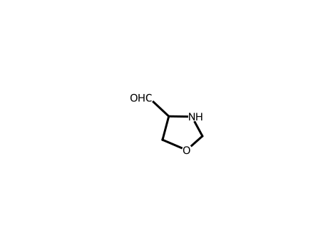 O=CC1COCN1